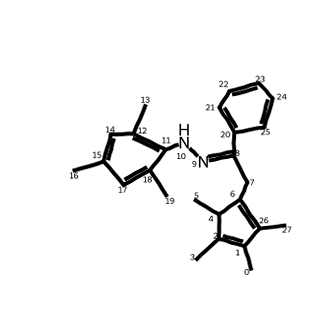 CC1=C(C)C(C)C(CC(=NNc2c(C)cc(C)cc2C)c2ccccc2)=C1C